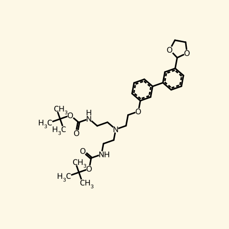 CC(C)(C)OC(=O)NCCN(CCNC(=O)OC(C)(C)C)CCOc1cccc(-c2cccc(C3OCCO3)c2)c1